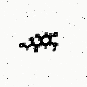 COc1cc(NC(=O)CCl)c(F)cc1Cl